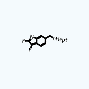 CCCCCCCCC1C=CC2=C(F)C(F)=NC2=C1